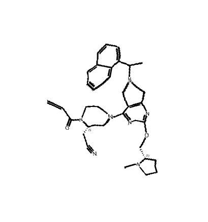 C=CC(=O)N1CCN(c2nc(OC[C@@H]3CCCN3C)nc3c2CN(C(C)c2cccc4ccccc24)C3)C[C@@H]1CC#N